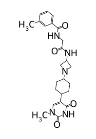 Cc1cccc(C(=O)NCC(=O)NC2CN(C3CCC(c4cn(C)c(=O)[nH]c4=O)CC3)C2)c1